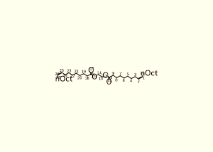 CCCCCCCC/C=C\CCCCCCCC(=O)O[CH]COC(=O)CCCCCCC/C=C\CCCCCCCC